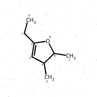 CCC1=CC(C)C(C)O1